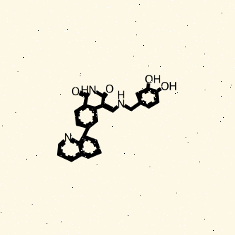 O=C1NC(=O)c2ccc(-c3cccc4cccnc34)cc2C1=CNCc1ccc(O)c(O)c1